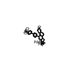 CC(F)(F)C(C)(F)[C@]1(O)CCC2C3CCC4=CC(=O)CCC4=C3C(c3ccc(-c4ccc(S(C)(=O)=O)cc4)cc3)C[C@@]21C